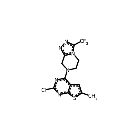 Cc1cc2c(N3CCn4c(nnc4C(F)(F)F)C3)nc(Cl)nc2s1